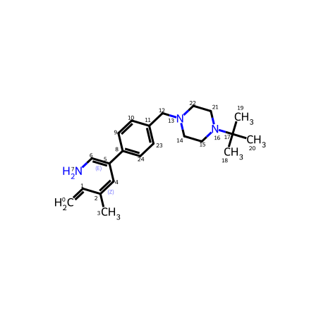 C=C/C(C)=C\C(=C/N)c1ccc(CN2CCN(C(C)(C)C)CC2)cc1